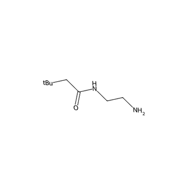 CC(C)(C)CC(=O)NCCN